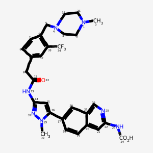 CN1CCN(Cc2ccc(CC(=O)Nc3cc(-c4ccc5cc(NC(=O)O)ncc5c4)n(C)n3)cc2C(F)(F)F)CC1